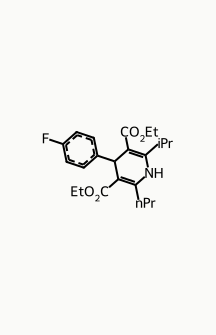 CCCC1=C(C(=O)OCC)C(c2ccc(F)cc2)C(C(=O)OCC)=C(C(C)C)N1